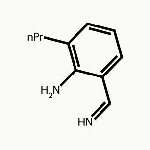 CCCc1cccc(C=N)c1N